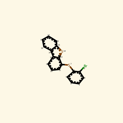 Brc1ccccc1Sc1cccc2c1sc1ccccc12